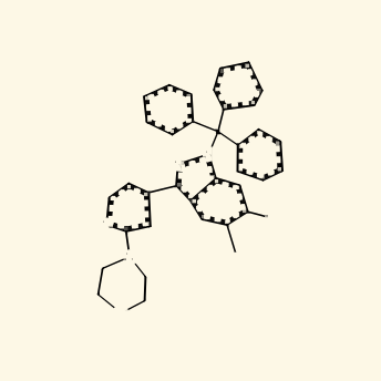 Cc1cc2c(-c3ccnc(N4CCOCC4)c3)nn(C(c3ccccc3)(c3ccccc3)c3ccccc3)c2cc1F